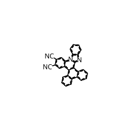 N#Cc1cc2c3c4ccccc4c4ccccc4c3c3nc4ccccc4n3c2cc1C#N